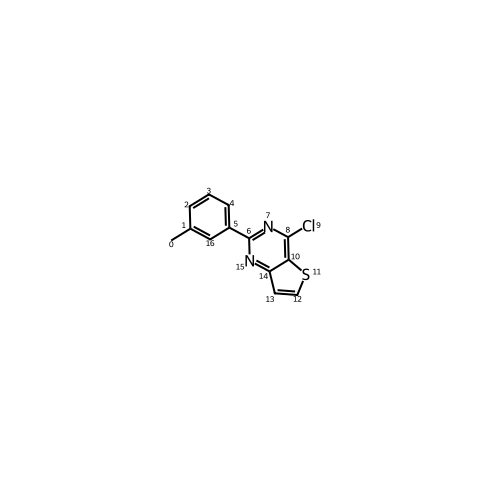 Cc1cccc(-c2nc(Cl)c3sccc3n2)c1